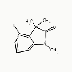 CN1C(=O)C(C)(C)c2c(I)cccc21